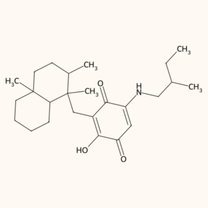 CCC(C)CNC1=CC(=O)C(O)=C(CC2(C)C(C)CCC3(C)CCCCC32)C1=O